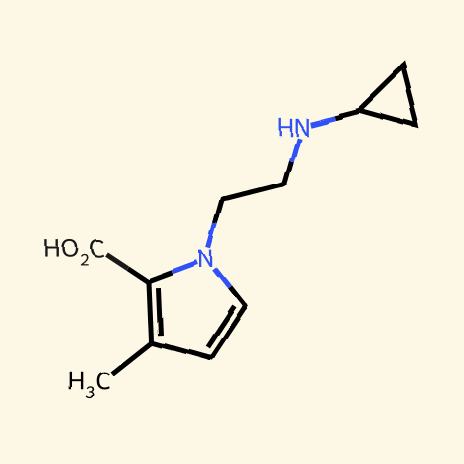 Cc1ccn(CCNC2CC2)c1C(=O)O